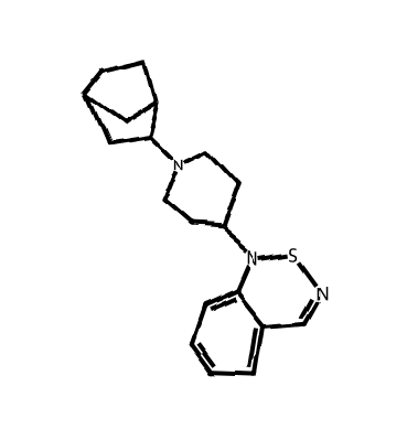 C1=NSN(C2CCN(C3CC4CCC3C4)CC2)c2ccccc21